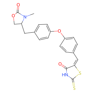 CN1C(=O)OCC1Cc1ccc(Oc2ccc(C=C3SC(=S)NC3=O)cc2)cc1